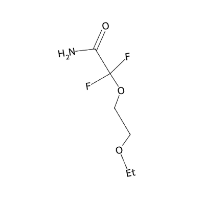 CCOCCOC(F)(F)C(N)=O